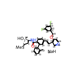 CSCCC(NC(=O)c1ccc(C=Cc2cnccc2OCc2cc(F)cc(F)c2)cc1-c1ccccc1C)C(=O)O.[NaH]